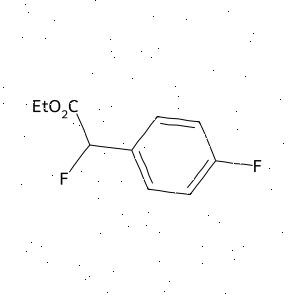 CCOC(=O)C(F)c1ccc(F)cc1